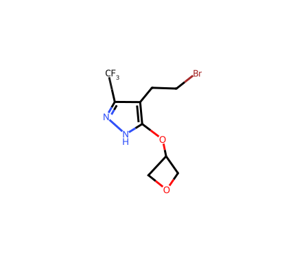 FC(F)(F)c1n[nH]c(OC2COC2)c1CCBr